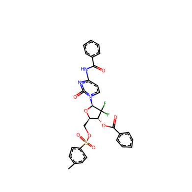 Cc1ccc(S(=O)(=O)OC[C@H]2O[C@@H](n3ccc(NC(=O)c4ccccc4)nc3=O)C(F)(F)[C@@H]2OC(=O)c2ccccc2)cc1